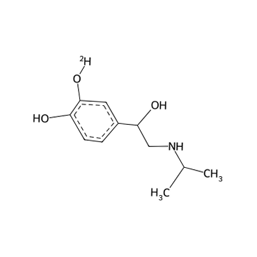 [2H]Oc1cc(C(O)CNC(C)C)ccc1O